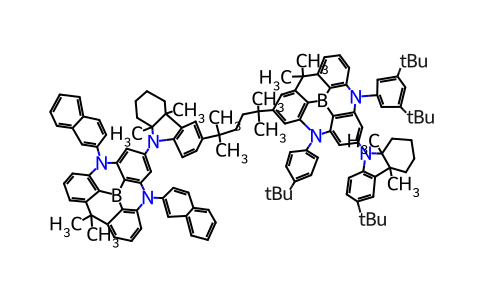 CC(C)(C)c1ccc(N2c3cc(N4c5ccc(C(C)(C)C)cc5C5(C)CCCCC45C)cc4c3B3c5c(cccc5C(C)(C)c5cc(C(C)(C)CCC(C)(C)c6ccc7c(c6)C6(C)CCCCC6(C)N7c6cc7c8c(c6)N(c6ccc9ccccc9c6)c6cccc9c6B8c6c(cccc6C9(C)C)N7c6ccc7ccccc7c6)cc2c53)N4c2cc(C(C)(C)C)cc(C(C)(C)C)c2)cc1